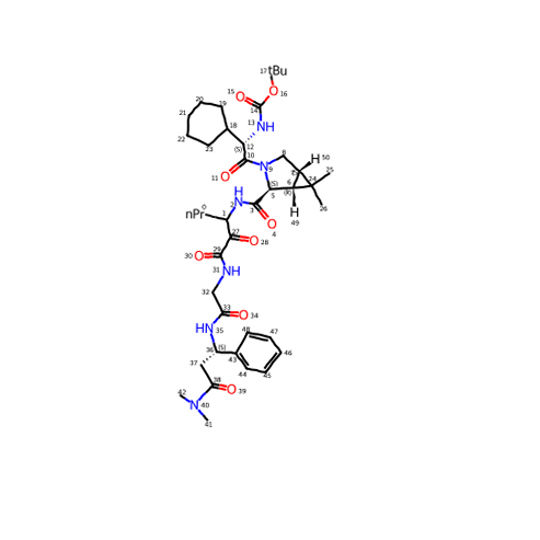 CCCC(NC(=O)[C@@H]1[C@@H]2[C@H](CN1C(=O)[C@@H](NC(=O)OC(C)(C)C)C1CCCCC1)C2(C)C)C(=O)C(=O)NCC(=O)N[C@@H](CC(=O)N(C)C)c1ccccc1